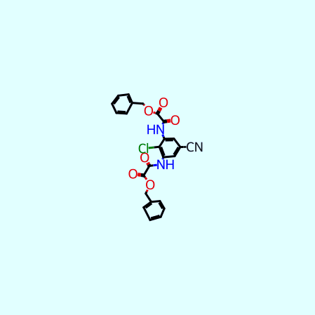 N#Cc1cc(NC(=O)C(=O)OCc2ccccc2)c(Cl)c(NC(=O)C(=O)OCc2ccccc2)c1